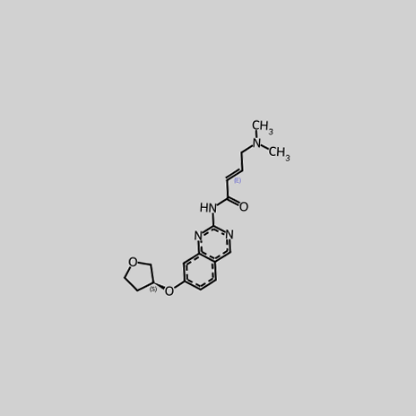 CN(C)C/C=C/C(=O)Nc1ncc2ccc(O[C@H]3CCOC3)cc2n1